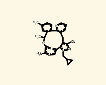 Cc1ccc2c(c1)C(C)Oc1cc(cnc1N)-c1c(c(C#N)nn1CC1CC1)Cc1cccnc1-2